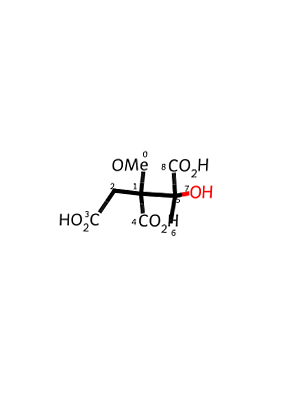 COC(CC(=O)O)(C(=O)O)C(C)(O)C(=O)O